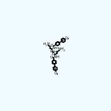 COC12CCC(c3ccc(C(=O)NC(CCCN)OBOC(CCCN)NC(=O)c4ccc(C56CCC(OC)(CC5)CC6)cc4)cc3)(CC1)CC2